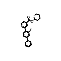 O=C(OC1CCCCO1)c1ccnc(-c2ccc(-c3ccccc3)cc2F)c1